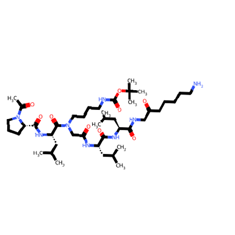 CC(=O)N1CCC[C@H]1C(=O)N[C@@H](CC(C)C)C(=O)N(CCCCNC(=O)OC(C)(C)C)CC(=O)N[C@@H](CC(C)C)C(=O)N[C@@H](CC(C)C)C(=O)NCC(=O)CCCCCN